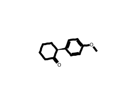 COc1ccc([C@@H]2CCCCC2=O)cc1